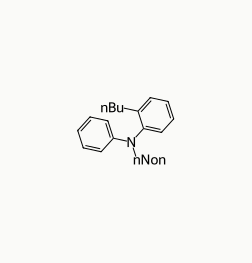 CCCCCCCCCN(c1ccccc1)c1ccccc1CCCC